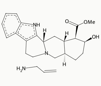 C=CCN.COC(=O)[C@@H]1[C@H]2C[C@H]3c4[nH]c5ccccc5c4CCN3C[C@@H]2CC[C@@H]1O